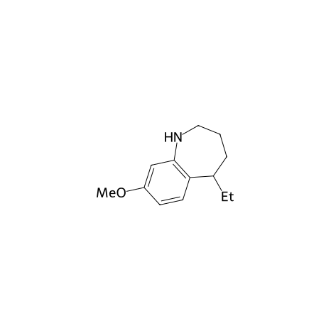 CCC1CCCNc2cc(OC)ccc21